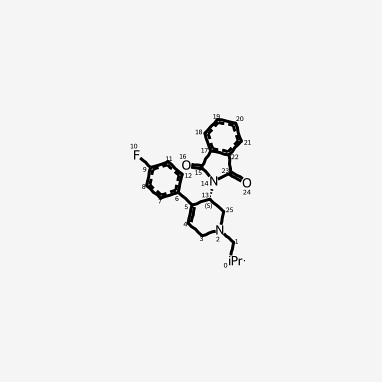 C[C](C)CN1CC=C(c2ccc(F)cc2)[C@H](N2C(=O)c3ccccc3C2=O)C1